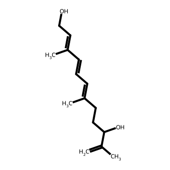 C=C(C)C(O)CC/C(C)=C/C=C/C(C)=C/CO